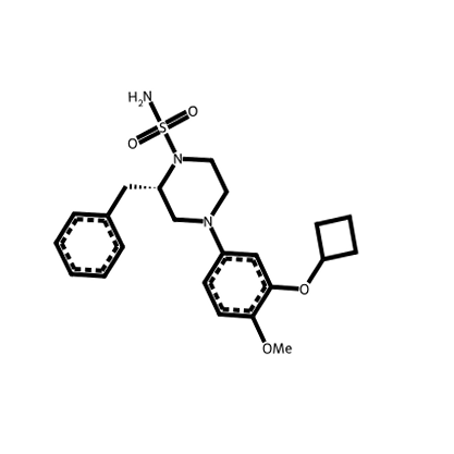 COc1ccc(N2CCN(S(N)(=O)=O)[C@@H](Cc3ccccc3)C2)cc1OC1CCC1